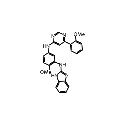 COc1ccc(Nc2cc(-c3ccccc3OC)ncn2)cc1Nc1nc2ccccc2[nH]1